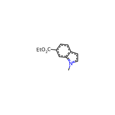 CCOC(=O)c1ccc2ccn(C)c2c1